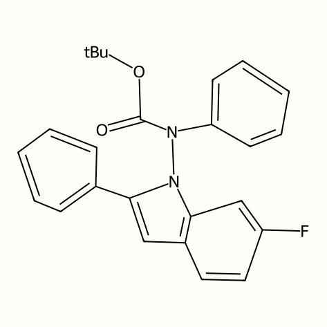 CC(C)(C)OC(=O)N(c1ccccc1)n1c(-c2ccccc2)cc2ccc(F)cc21